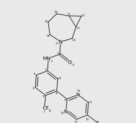 O=C(Nc1ccc(C(F)(F)F)c(-c2ncc(F)cn2)c1)N1CCCC2CC2C1